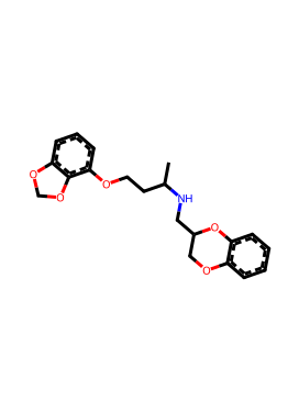 CC(CCOc1cccc2c1OCO2)NCC1COc2ccccc2O1